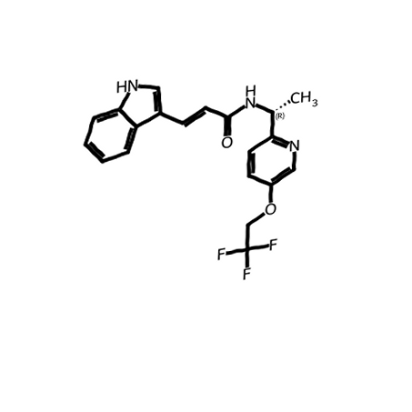 C[C@@H](NC(=O)C=Cc1c[nH]c2ccccc12)c1ccc(OCC(F)(F)F)cn1